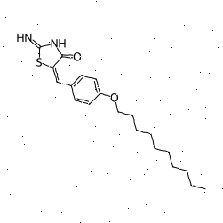 CCCCCCCCCCOc1ccc(/C=C2/SC(=N)NC2=O)cc1